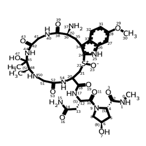 CNC(=O)[C@@H]1C[C@@H](O)CN1C(=O)[C@H](CC(N)=O)NC(=O)C1C[S+]([O-])c2[nH]c3cc(OC)ccc3c2C[C@H](N)C(=O)NCC(=O)NC(C)(O)[C@H](C)NCC(=O)N1